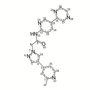 Cc1cc(-c2cnn(CC(=O)Nc3ccc(-c4cnccn4)cn3)c2)ccn1